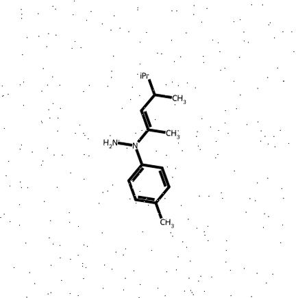 C/C(=C\C(C)C(C)C)N(N)c1ccc(C)cc1